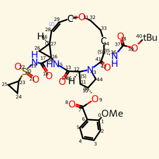 COc1ccccc1C(=O)O[C@@H]1C[C@H]2C(=O)N[C@]3(C(=O)NS(=O)(=O)C4CC4)C[C@H]3/C=C\COCCC[C@H](NC(=O)OC(C)(C)C)C(=O)N2C1